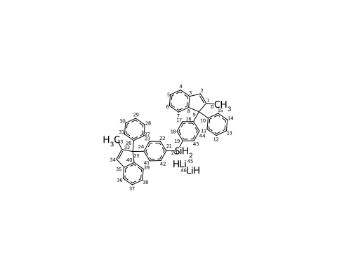 CC1=Cc2ccccc2C1(c1ccccc1)c1ccc([SiH2]c2ccc(C3(c4ccccc4)C(C)=Cc4ccccc43)cc2)cc1.[LiH].[LiH]